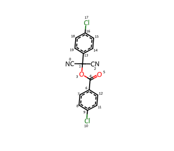 N#CC(C#N)(OC(=O)c1ccc(Cl)cc1)c1ccc(Cl)cc1